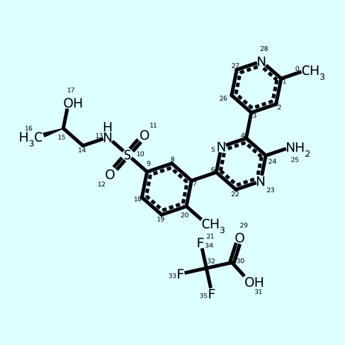 Cc1cc(-c2nc(-c3cc(S(=O)(=O)NC[C@@H](C)O)ccc3C)cnc2N)ccn1.O=C(O)C(F)(F)F